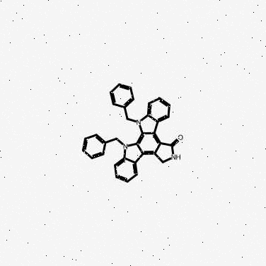 O=C1NCc2c1c1c3ccccc3n(Cc3ccccc3)c1c1c2c2ccccc2n1Cc1ccccc1